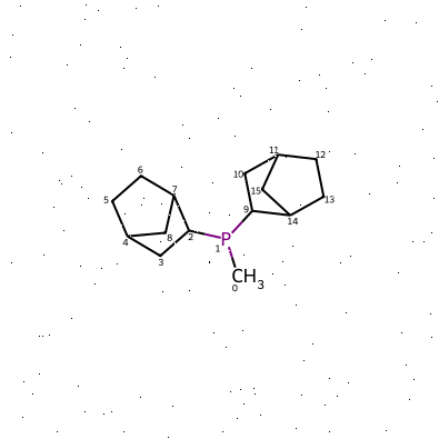 CP(C1CC2CCC1C2)C1CC2CCC1C2